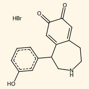 Br.O=C1C=C2CCNCC(c3cccc(O)c3)C2=CC1=O